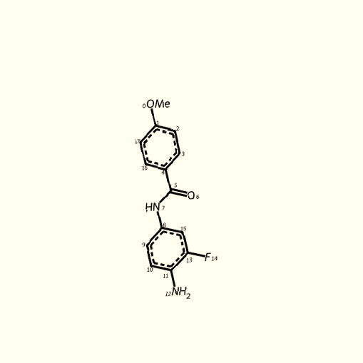 COc1ccc(C(=O)Nc2ccc(N)c(F)c2)cc1